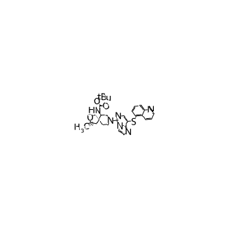 C[C@H]1CC2(CCN(c3ncc(Sc4cccc5ncccc45)c4nccn34)CC2NC(=O)OC(C)(C)C)CO1